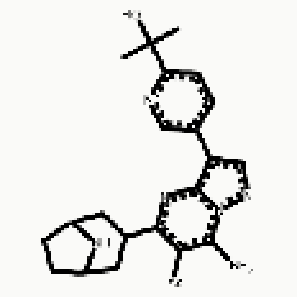 CC(=O)c1c(C2CC3CCC(C2)N3)nc2c(-c3ccc(C(C)(C)O)nc3)cnn2c1N